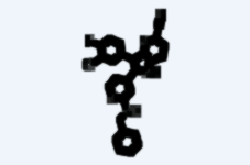 N#Cc1ccc2[nH]c(-c3ccnc(NCc4ccccc4)c3)c(-c3ccc(F)c(Cl)c3)c2n1